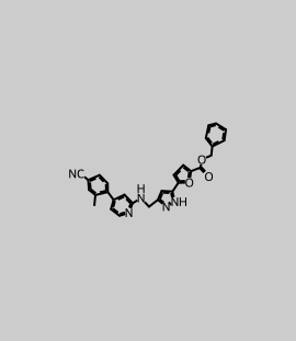 Cc1cc(C#N)ccc1-c1ccnc(NCc2cc(-c3ccc(C(=O)OCc4ccccc4)o3)[nH]n2)c1